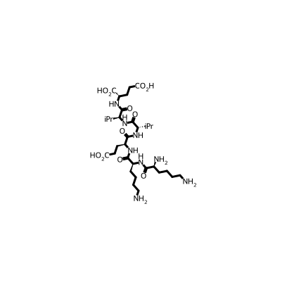 CC(C)[C@H](NC(=O)[C@H](CCC(=O)O)NC(=O)[C@H](CCCCN)NC(=O)[C@@H](N)CCCCN)C(=O)N[C@H](C(=O)N[C@@H](CCC(=O)O)C(=O)O)C(C)C